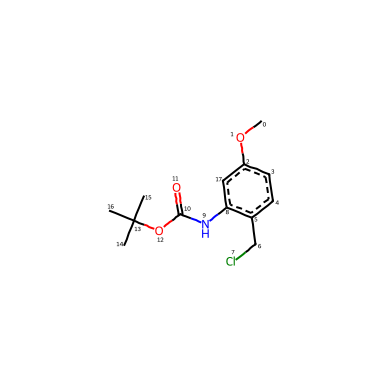 COc1ccc(CCl)c(NC(=O)OC(C)(C)C)c1